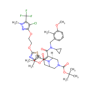 COc1cccc(CN(C(=O)C2=C(c3cnc(OCCOc4nn(C)c(C(F)(F)F)c4Cl)s3)CC3CN(C(=O)OC(C)(C)C)C[C@H]2N3C(=O)OC(C)(C)C)C2CC2)c1C